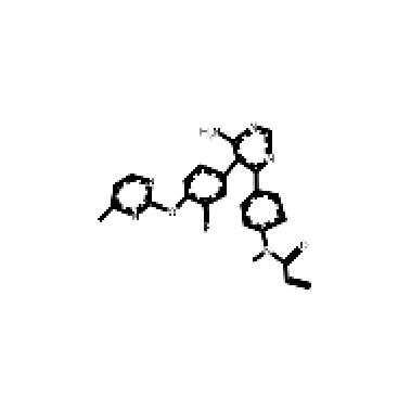 C=CC(=O)N(C)c1ccc(-c2ncnc(N)c2-c2ccc(Oc3nccc(C)n3)c(F)c2)cc1